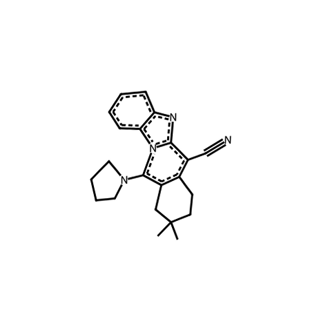 CC1(C)CCc2c(c(N3CCCC3)n3c(nc4ccccc43)c2C#N)C1